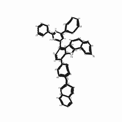 C1=CC2C=CC(c3ccc(-c4ccc(-c5cc(-c6ccccc6)nc(-c6ccccc6)n5)c5c4oc4c6ccccc6ccc45)cc3)=CC2C=C1